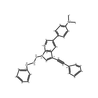 CN(C)c1ccc(-c2cnc3c(c2)c(C#Cc2ccccc2)cn3SOOc2ccccc2)cc1